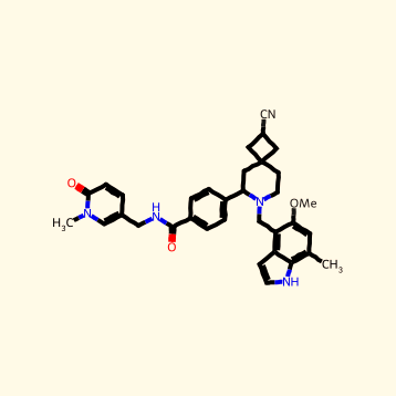 COc1cc(C)c2[nH]ccc2c1CN1CCC2(CC(C#N)C2)CC1c1ccc(C(=O)NCc2ccc(=O)n(C)c2)cc1